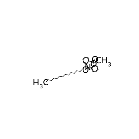 CCCCCCCCCCCCCCON(c1ccccc1)c1ccccc1C(=O)OC